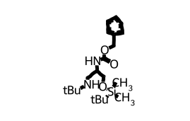 CC(C)(C)NCC(CO[Si](C)(C)C(C)(C)C)NC(=O)OCc1ccccc1